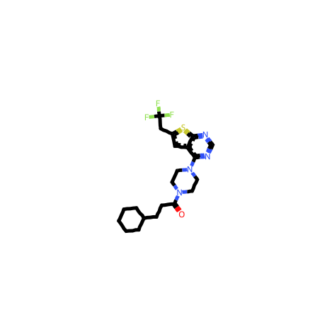 O=C(CCC1CCCCC1)N1CCN(c2ncnc3sc(CC(F)(F)F)cc23)CC1